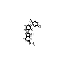 COC1C=CC(Cl)=CN1c1ccc(F)c(-c2nc3cnc(N)nc3[nH]2)c1F